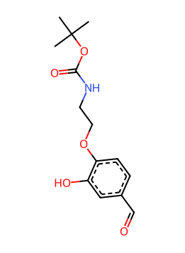 CC(C)(C)OC(=O)NCCOc1ccc(C=O)cc1O